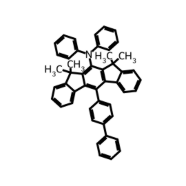 CC1(C)c2ccccc2-c2c(-c3ccc(-c4ccccc4)cc3)c3c(c(N(c4ccccc4)c4ccccc4)c21)C(C)(C)c1ccccc1-3